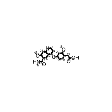 CNC(=O)c1cc2c(Oc3ccc(CC(=O)O)c(OC)c3)ccnc2cc1OC